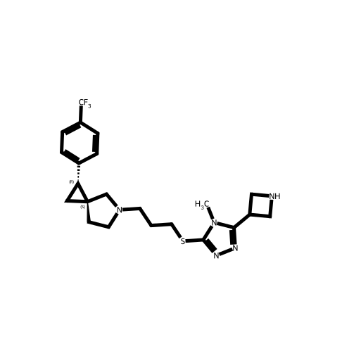 Cn1c(SCCCN2CC[C@]3(C[C@@H]3c3ccc(C(F)(F)F)cc3)C2)nnc1C1CNC1